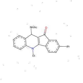 CCN1C2=C(C(=O)c3cc(C(C)C)ccc32)C(NC(C)=O)c2ccccc21